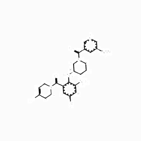 CNc1cncc(C(=O)N2CCC[C@@H](Nc3c(C(=O)N4CC=C(F)CC4)cc(Br)cc3[N+](=O)[O-])C2)c1